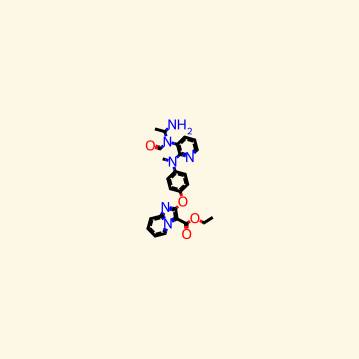 CCOC(=O)c1c(Oc2ccc(N(C)c3ncccc3N(C=O)C(C)N)cc2)nc2ccccn12